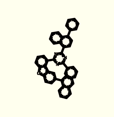 c1ccc(-c2nc(-c3ccc(-c4ccccc4)c4ccccc34)nc(-c3cccc4oc5ccc(-c6cccc7ccccc67)cc5c34)n2)cc1